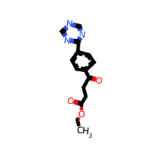 CCOC(=O)CCC(=O)c1ccc(-c2ncncn2)cc1